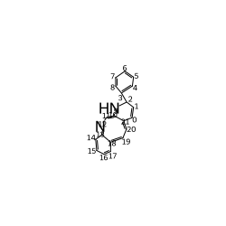 C1=CC(c2ccccc2)NC2=CN=c3ccccc3=CC=C12